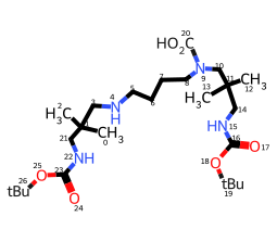 CC(C)(CNCCCCN(CC(C)(C)CNC(=O)OC(C)(C)C)C(=O)O)CNC(=O)OC(C)(C)C